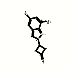 O=C1CC(n2cc3cc(Br)cc(C(F)(F)F)c3n2)C1